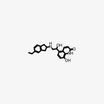 CCc1ccc2c(c1)CC(NCC(O)c1ccc(O)c3[nH]c(=O)ccc13)C2